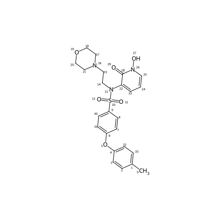 Cc1ccc(Oc2ccc(S(=O)(=O)N(CCN3CCOCC3)c3cccn(O)c3=O)cc2)cc1